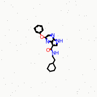 O=C(NCCC1CCCCC1)c1c[nH]c2ncc(Oc3ccccc3)nc12